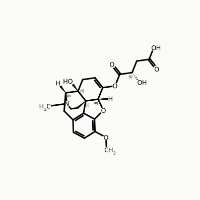 COc1ccc2c3c1O[C@H]1C(OC(=O)[C@@H](O)CC(=O)O)=CC[C@@]4(O)[C@@H](C2)N(C)CC[C@]314